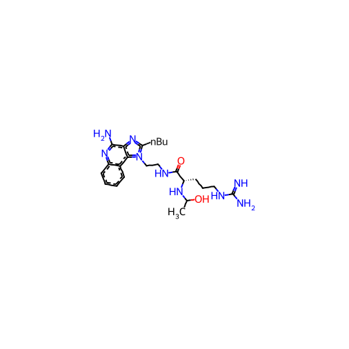 CCCCc1nc2c(N)nc3ccccc3c2n1CCNC(=O)[C@H](CCCNC(=N)N)NC(C)O